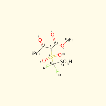 CC(C)OC(=O)C(C(=O)C(C)C)S(=O)(=O)C(F)(F)S(=O)(=O)O